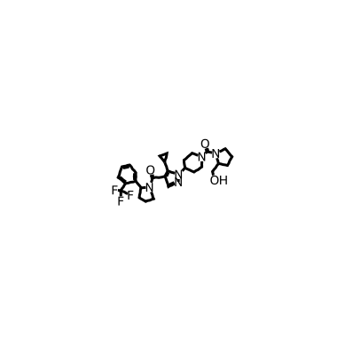 O=C(N1CCC(n2ncc(C(=O)N3CCCC3c3ccccc3C(F)(F)F)c2C2CC2)CC1)N1CCCC1CO